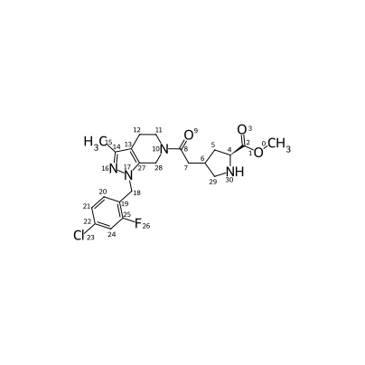 COC(=O)[C@@H]1CC(CC(=O)N2CCc3c(C)nn(Cc4ccc(Cl)cc4F)c3C2)CN1